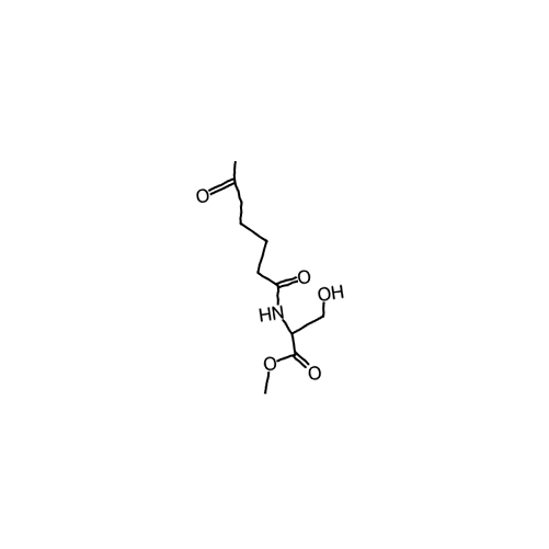 COC(=O)C(CO)NC(=O)CCCCC(C)=O